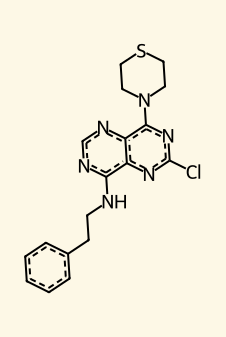 Clc1nc(N2CCSCC2)c2ncnc(NCCc3ccccc3)c2n1